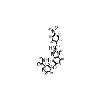 CNC(=O)c1cc(Oc2ccc3c(c2)nc(NCc2ccc(N(C)C)cc2)n3C)ccn1